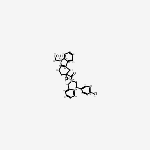 CC1(C(=O)N(CCc2ccc(Cl)cc2)Cc2ccccc2)CCc2c(c3ccccc3n2CC(=O)O)C1